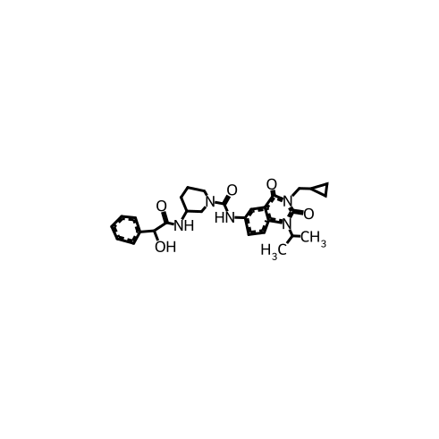 CC(C)n1c(=O)n(CC2CC2)c(=O)c2cc(NC(=O)N3CCCC(NC(=O)C(O)c4ccccc4)C3)ccc21